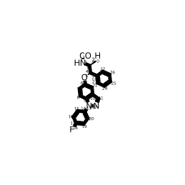 C[C@H](NC(=O)O)[C@@H](Oc1ccc2c(cnn2-c2ccc(F)cc2)c1)c1ccccc1